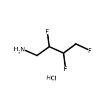 Cl.NCC(F)C(F)CF